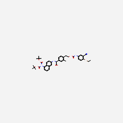 CCS(=O)(=O)c1ccc(NC(=O)OCCc2ccc(C(Nc3ccc4c(N(C(=O)OC(C)(C)C)C(=O)OC(C)(C)C)cccc4c3)C(=O)O)cc2C)cc1C#N